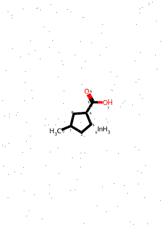 CC1CCC(C(=O)O)C1.[InH3]